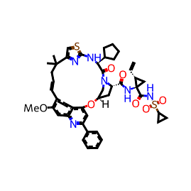 C=C[C@@H]1C[C@]1(NC(=O)[C@@H]1C[C@@H]2CN1C(=O)[C@H](C1CCCC1)Nc1nc(cs1)C(C)(C)C/C=C/c1cc3c(cc(-c4ccccc4)nc3cc1OC)O2)C(=O)NS(=O)(=O)C1CC1